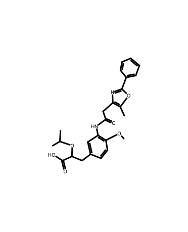 COc1ccc(CC(OC(C)C)C(=O)O)cc1NC(=O)Cc1nc(-c2ccccc2)oc1C